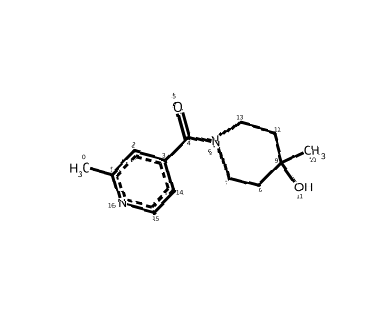 Cc1cc(C(=O)N2CCC(C)(O)CC2)ccn1